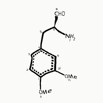 COc1ccc(C[C@H](N)C=O)cc1OC